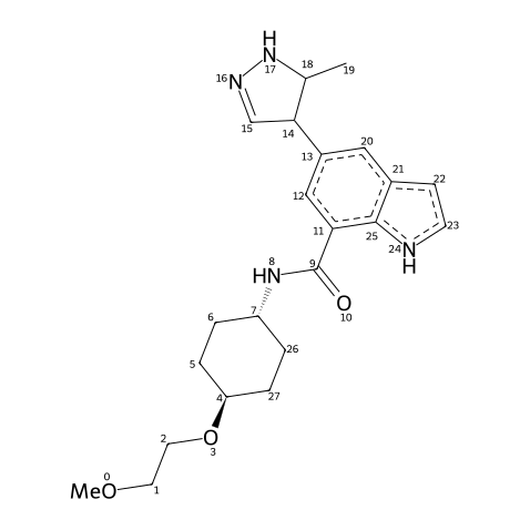 COCCO[C@H]1CC[C@H](NC(=O)c2cc(C3C=NNC3C)cc3cc[nH]c23)CC1